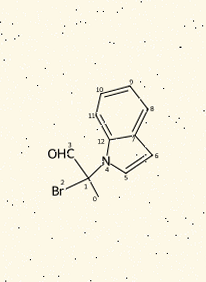 CC(Br)(C=O)n1ccc2ccccc21